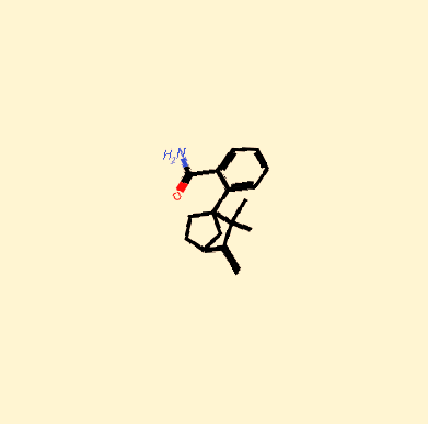 C=C1C2CCC(c3ccccc3C(N)=O)(C2)C1(C)C